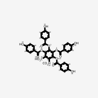 O=C(Oc1c(OC(=O)c2ccc(O)cc2)c(OC(=O)c2ccc(O)cc2)c(C(=O)O)c(C(=O)O)c1OC(=O)c1ccc(O)cc1)c1ccc(O)cc1